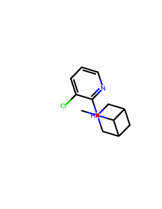 CN1CC2CC(C1)C2Nc1ncccc1Cl